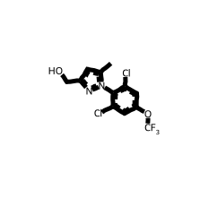 Cc1cc(CO)nn1-c1c(Cl)cc(OC(F)(F)F)cc1Cl